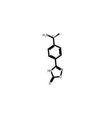 C[C@H](N)c1ccc(-c2noc(=O)[nH]2)cc1